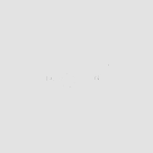 CC(C)(C)c1ccc(C(C)(C)CN2CCOCC2)cc1